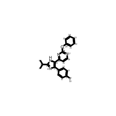 CC(C)c1nc(-c2ccc(F)cc2)c(-c2ccnc(Oc3ccccc3)n2)[nH]1